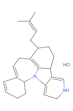 CC(C)=CCC1CCC2C3=CNCC=C3N3C2=C1CC=C1C=CCCC13.Cl